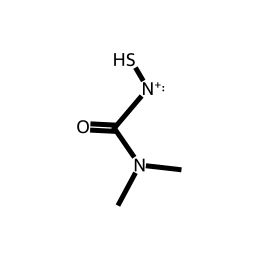 CN(C)C(=O)[N+]S